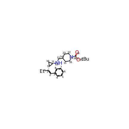 CCC(=Cc1ccccc1)[C@@H]1C[C@H]1NCC1CCN(C(=O)OC(C)(C)C)CC1